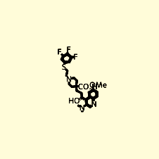 COc1ccc2ncc(N(C)C)c([C@H](O)CCC3(C(=O)O)CCN(CCSc4cc(F)c(F)c(F)c4)CC3)c2c1